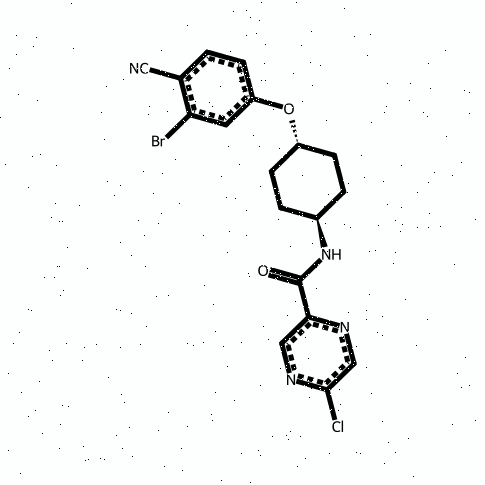 N#Cc1ccc(O[C@H]2CC[C@H](NC(=O)c3cnc(Cl)cn3)CC2)cc1Br